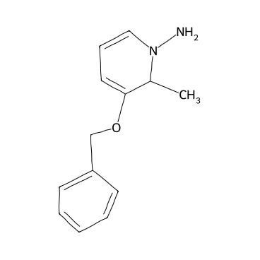 CC1C(OCc2ccccc2)=CC=CN1N